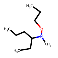 CCCON(C)C(CC)CCC